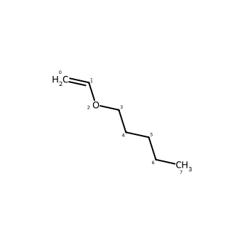 C=[C]OCCCCC